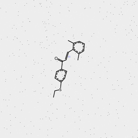 CCSc1ccc(C(=O)/C=C/c2c(C)cccc2C)cc1